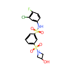 O=S(=O)(Nc1ccc(F)c(Cl)c1)c1cccc(S(=O)(=O)N2CC(O)C2)c1